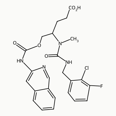 CN(C(=O)NCc1cccc(F)c1Cl)C(CCC(=O)O)COC(=O)Nc1cc2ccccc2cn1